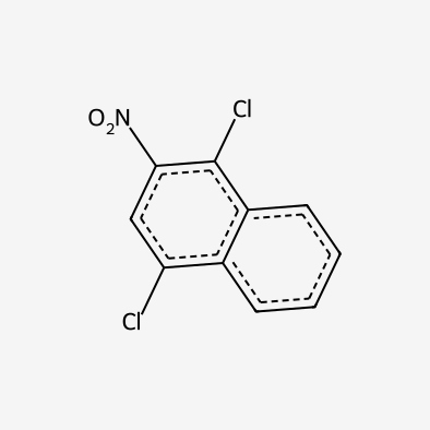 O=[N+]([O-])c1cc(Cl)c2ccccc2c1Cl